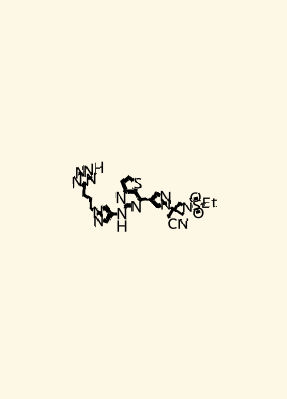 CCS(=O)(=O)N1CC(CC#N)(n2cc(-c3nc(Nc4cnn(CCCc5nn[nH]n5)c4)nc4ccsc34)cn2)C1